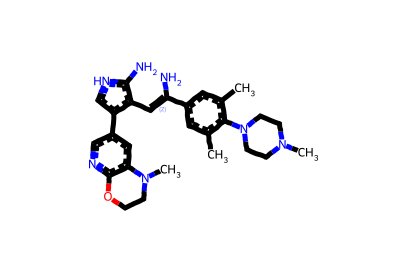 Cc1cc(/C(N)=C/c2c(-c3cnc4c(c3)N(C)CCO4)c[nH]c2N)cc(C)c1N1CCN(C)CC1